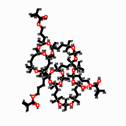 C=C(C)C(=O)OCCCC[Si]1(C)O[Si](C)(CC[Si](C)(C)O[Si](C)(C)O[Si](C)(C)CC[Si](C)(O)O[Si](C)(CCCOC(=O)C(=C)C)O[SiH](C)C)O[SiH](C)O[Si](C)(CC[Si](C)(C)O[Si](C)(C)O[Si](C)(C)CC[Si]2(C)O[Si](C)(CCCOC(=O)C(=C)C)O[Si]3(C)CC[Si](C)(C)O[Si](C)(C)CC[Si](C)(O3)O2)O1